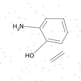 C=C.Nc1ccccc1O